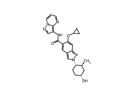 C[C@H]1C[C@H](O)CC[C@@H]1n1cc2cc(C(=O)Nc3cnn4cccnc34)c(OC3CC3)cc2n1